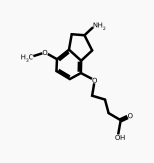 COc1ccc(OCCCC(=O)O)c2c1CC(N)C2